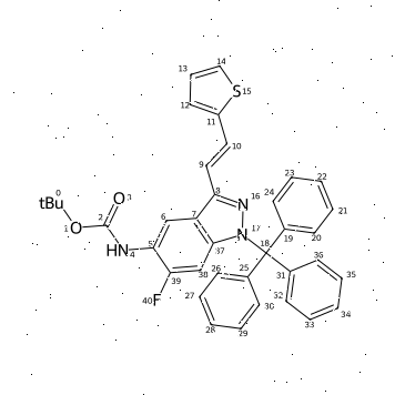 CC(C)(C)OC(=O)Nc1cc2c(/C=C/c3cccs3)nn(C(c3ccccc3)(c3ccccc3)c3ccccc3)c2cc1F